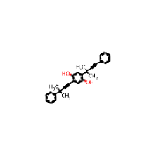 CC(C)(C#Cc1cc(O)c(C(C)(C)C#Cc2ccccc2)cc1O)c1ccccc1